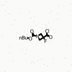 CCCCOC(=O)N1CC(F)(C(=O)Cl)C1